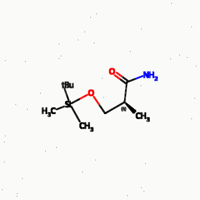 C[C@@H](CO[Si](C)(C)C(C)(C)C)C(N)=O